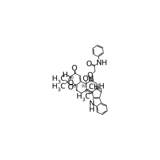 CC1(C)O[C@@]23CC[C@]4(C)[C@@]5(C)c6[nH]c7ccccc7c6C[C@@H]5C[C@H](OCC(=O)Nc5ccccc5)[C@@]4(O)C2=CC(=O)[C@@H]1O3